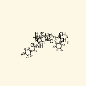 CN(C)CC(OC(=O)N1Cc2c(NC(=O)Cc3ccc(F)cc3)n[nH]c2C1(C)C)c1ccccc1